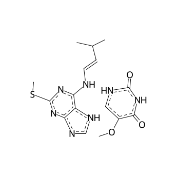 COc1c[nH]c(=O)[nH]c1=O.CSc1nc(NC=CC(C)C)c2[nH]cnc2n1